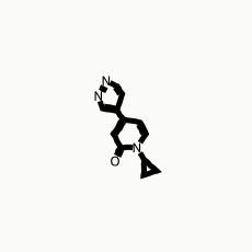 O=c1cc(-c2ccnnc2)ccn1C1CC1